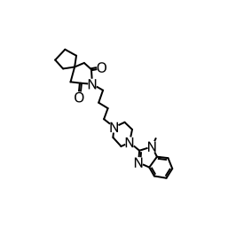 Cn1c(N2CCN(CCCCN3C(=O)CC4(CCCC4)CC3=O)CC2)nc2ccccc21